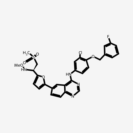 CON[C@@H](CS(C)(=O)=O)c1ccc(-c2ccc3ncnc(Nc4ccc(OCc5cccc(F)c5)c(Cl)c4)c3c2)o1